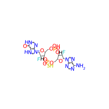 Nc1ncnc2c1ncn2C1OC2COP(=O)(S)O[C@@H]3C(COP(=O)(O)O[C@H]2[C@H]1F)OC([n+]1c[nH]c2c(=O)[nH]cnc21)[C@@H]3F